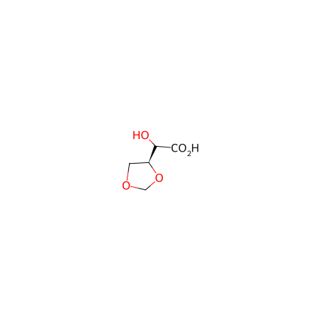 O=C(O)C(O)[C@@H]1COCO1